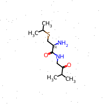 CC(C)SC[C@@H](N)C(=O)NCC(=O)C(C)C